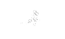 COc1ccc(NC(=S)NC(Cc2ccc3ccccc3c2)C(=O)NCC#N)cc1